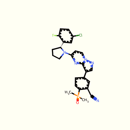 CP(C)(=O)c1ccc(-c2cnn3ccc(N4CCC[C@@H]4c4cc(Cl)ccc4F)nc23)cc1C#N